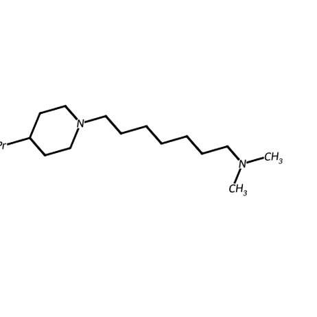 CC(C)C1CCN(CCCCCCCN(C)C)CC1